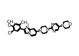 COc1cc(C)c(-c2cn3ccc(N4CCN(c5ncc(N6CCOCC6)cn5)CC4)cc3n2)cc1Cl